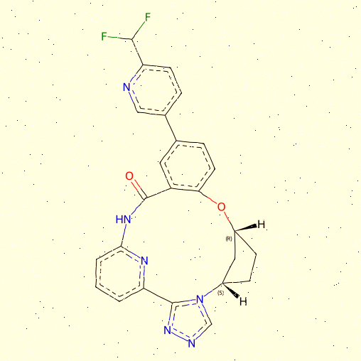 O=C1Nc2cccc(n2)-c2nncn2[C@H]2CC[C@H](C2)Oc2ccc(-c3ccc(C(F)F)nc3)cc21